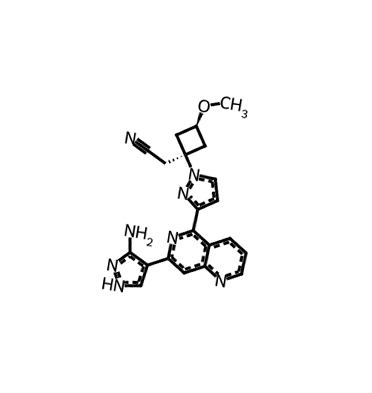 CO[C@H]1C[C@@](CC#N)(n2ccc(-c3nc(-c4c[nH]nc4N)cc4ncccc34)n2)C1